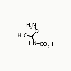 CC(NC(=O)O)ON